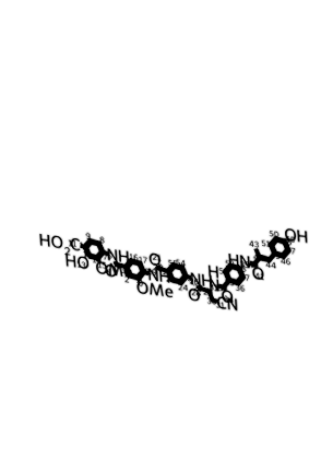 COc1cc(C(=O)Nc2ccc(C(=O)O)c(O)c2OC)ccc1NC(=O)c1ccc(NC(=O)C(CC#N)NC(=O)c2ccc(NC(=O)/C(C)=C/c3ccc(O)cc3)cc2)cc1